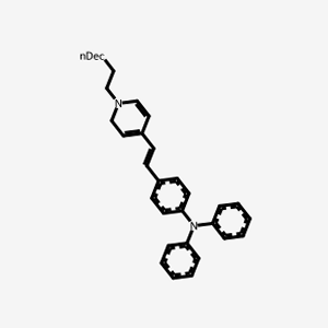 CCCCCCCCCCCCN1C=CC(C=Cc2ccc(N(c3ccccc3)c3ccccc3)cc2)=CC1